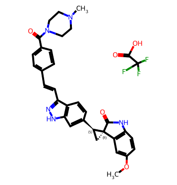 COc1ccc2c(c1)[C@]1(C[C@H]1c1ccc3c(C=Cc4ccc(C(=O)N5CCN(C)CC5)cc4)n[nH]c3c1)C(=O)N2.O=C(O)C(F)(F)F